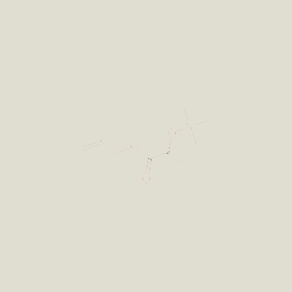 C=CCOC(=O)C(=C)O[Si](C)(C)C